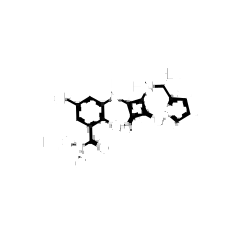 CC[C@@H](Nc1c(Nc2cc(Cl)cc(C(=O)N(C)C)c2O)c(=O)c1=O)c1cccs1